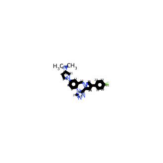 CN(C)[C@H]1CCN(c2ccc3c(c2)Cn2cc(-c4ccc(F)cc4)cc2-c2nncn2-3)C1